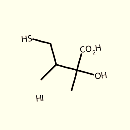 CC(CS)C(C)(O)C(=O)O.I